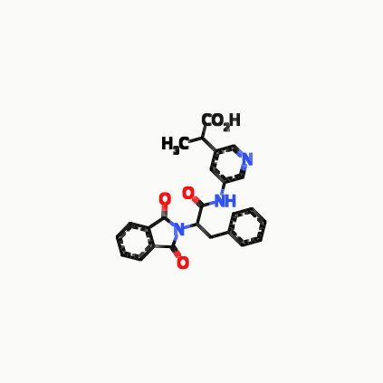 CC(C(=O)O)c1cncc(NC(=O)C(Cc2ccccc2)N2C(=O)c3ccccc3C2=O)c1